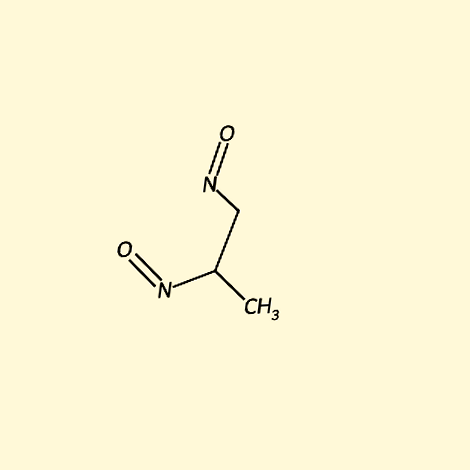 CC(CN=O)N=O